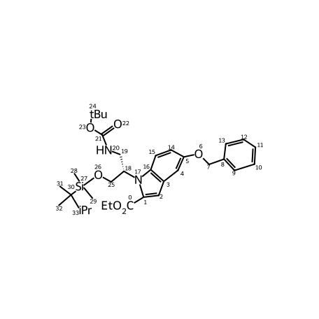 CCOC(=O)c1cc2cc(OCc3ccccc3)ccc2n1[C@@H](CNC(=O)OC(C)(C)C)CO[Si](C)(C)C(C)(C)C(C)C